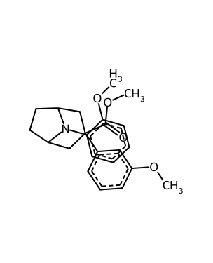 COC(=O)C1(c2cccc(OC)c2)CC2CCC(C1)N2c1ccccc1OC